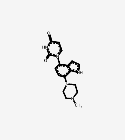 CN1CCN(c2ccc(-n3ccc(=O)[nH]c3=O)c3cc[nH]c23)CC1